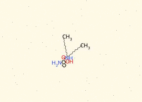 CCCCCCCCCCCCC(CCCCCCCCCCC)NC(=O)c1cc(N)c2ccccc2c1O